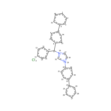 [Cl-].c1ccc(-c2ccc(C(c3ccccc3)[n+]3ccn(-c4ccc(-c5ccccc5)cc4)c3)cc2)cc1